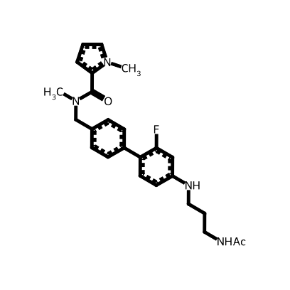 CC(=O)NCCCNc1ccc(-c2ccc(CN(C)C(=O)c3cccn3C)cc2)c(F)c1